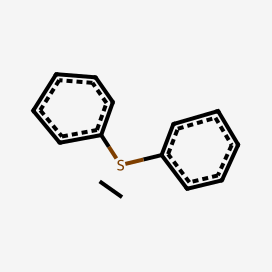 CC.c1ccc(Sc2ccccc2)cc1